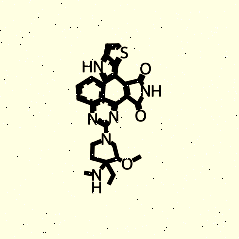 CCC1(NC)CCN(c2nc(C3=C(c4c[nH]c5ccsc45)C(=O)NC3=O)c3ccccc3n2)CC1OC